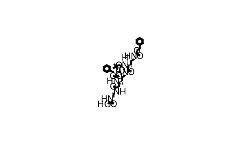 CC(C)(C)OC(=O)N[C@@H](CCCNC(=O)OCc1ccccc1)C(=O)NCCC[C@@H](CC(=O)NCCNC(=O)O)NC(=O)OCc1ccccc1